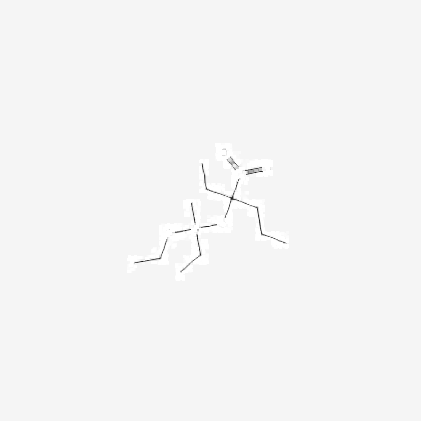 CCCC(CC)(O[Si](C)(CC)OCC)P(=O)=O